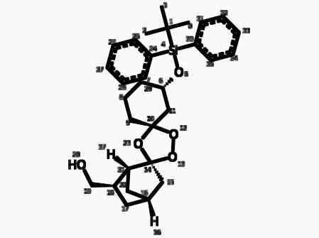 CC(C)(C)[Si](O[C@H]1CCC[C@@]2(C1)OO[C@]1(C[C@@H]3C[C@@H](CO)[C@H]1C3)O2)(c1ccccc1)c1ccccc1